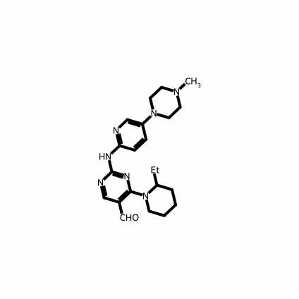 CCC1CCCCN1c1nc(Nc2ccc(N3CCN(C)CC3)cn2)ncc1C=O